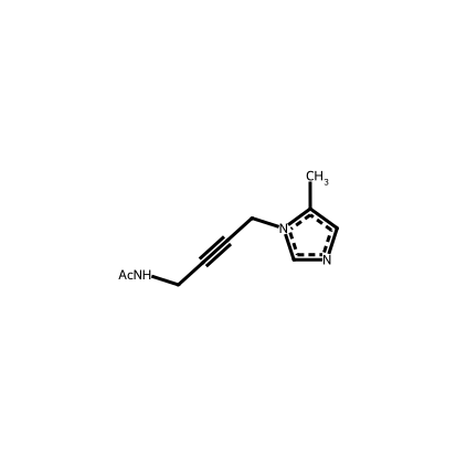 CC(=O)NCC#CCn1cncc1C